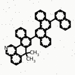 CC1(C)c2cc(-c3cc4c5ccccc5c(-c5cccc6ccccc56)cc4c4ccccc34)c3ccccc3c2-c2cncc3cccc1c23